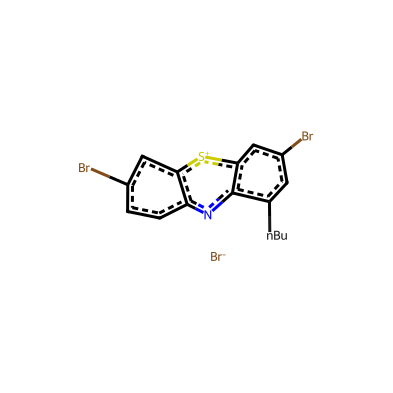 CCCCc1cc(Br)cc2[s+]c3cc(Br)ccc3nc12.[Br-]